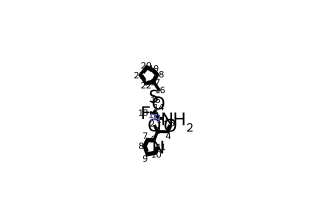 N/C(OC(C=O)c1ccccn1)=C(/F)OSCc1ccccc1